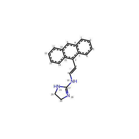 C(=C\c1c2ccccc2cc2ccccc12)/NC1=NCCN1